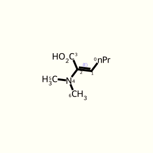 CCC/C=C(\C(=O)O)N(C)C